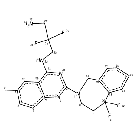 Cc1ccc2nc(N3CCC(F)(F)c4ccccc4C3)nc(NCC(F)(F)CN)c2c1